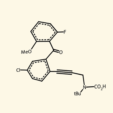 COc1cccc(F)c1C(=O)c1cc(Cl)ccc1C#CCN(C(=O)O)C(C)(C)C